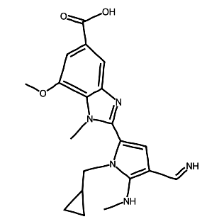 CNc1c(C=N)cc(-c2nc3cc(C(=O)O)cc(OC)c3n2C)n1CC1CC1